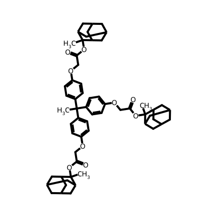 CC(c1ccc(OCC(=O)OC2(C)C3CC4CC(C3)CC2C4)cc1)(c1ccc(OCC(=O)OC2(C)C3CC4CC(C3)CC2C4)cc1)c1ccc(OCC(=O)OC2(C)C3CC4CC(C3)CC2C4)cc1